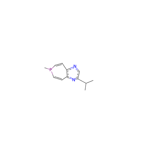 CC(C)c1cnc2c(n1)C=CP(C)C=C2